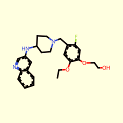 CCOc1cc(CN2CCC(Nc3cnc4ccccc4c3)CC2)c(F)cc1OCCO